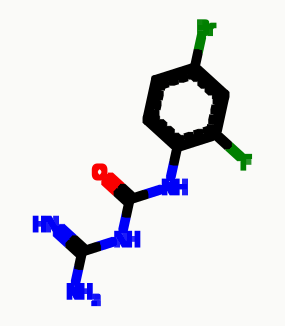 N=C(N)NC(=O)Nc1ccc(Br)cc1F